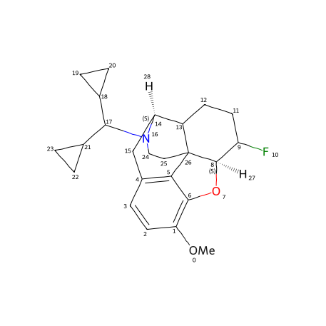 COc1ccc2c3c1O[C@@H]1C(F)CCC4[C@H](C2)N(C(C2CC2)C2CC2)CCC341